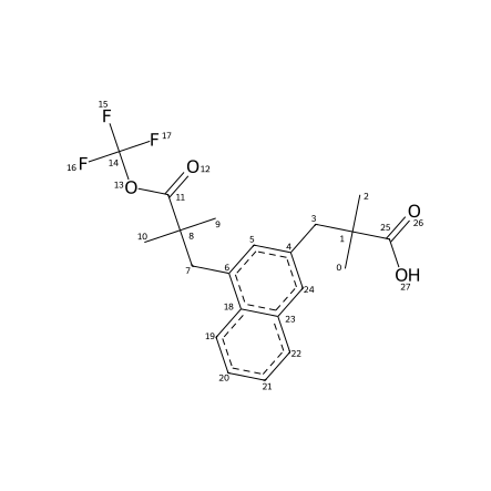 CC(C)(Cc1cc(CC(C)(C)C(=O)OC(F)(F)F)c2ccccc2c1)C(=O)O